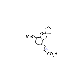 COc1ccc(/C=C/C(=O)O)c2c1OC1(CCCC1)C2